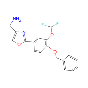 NCc1coc(-c2ccc(OCc3ccccc3)c(OC(F)F)c2)n1